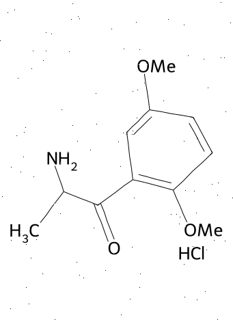 COc1ccc(OC)c(C(=O)C(C)N)c1.Cl